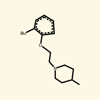 CCC(C)c1ccccc1OCCN1CCC(C)CC1